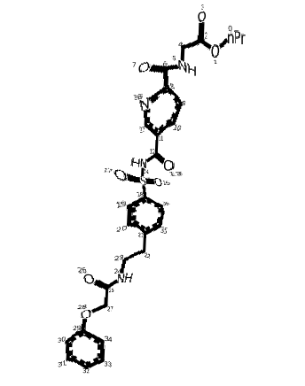 CCCOC(=O)CNC(=O)c1ccc(C(=O)NS(=O)(=O)c2ccc(CCNC(=O)COc3ccccc3)cc2)cn1